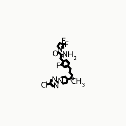 C[C@H](CCCc1ccc(C[C@H](N)C(=O)N2CCC(F)(F)C2)c(F)c1)C1CCN(c2ncc(Cl)cn2)CC1